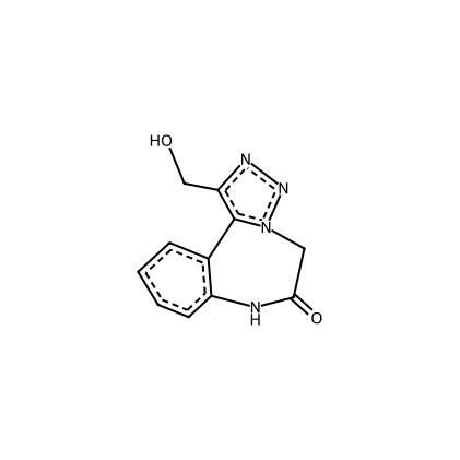 O=C1Cn2nnc(CO)c2-c2ccccc2N1